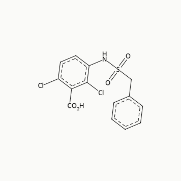 O=C(O)c1c(Cl)ccc(NS(=O)(=O)Cc2ccccc2)c1Cl